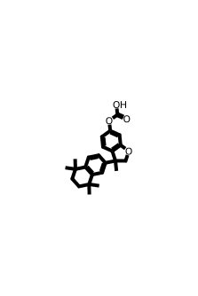 CC1(C)CCC(C)(C)c2cc(C3(C)COc4cc(OC(=O)O)ccc43)ccc21